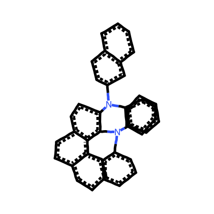 c1ccc(N(c2ccc3ccccc3c2)c2ccc3ccc4ccccc4c3c2N(c2ccccc2)c2ccccc2)cc1